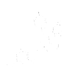 CC(C)(COc1ncc(C(F)(F)F)cc1Cl)C(O)C(Oc1ccc(F)cc1)n1cncn1